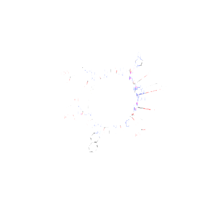 CC(C)[C@@H]1NC(=O)[C@@H]2CCCCn3cc(nn3)CC[C@H](NC(=O)[C@H](C)NC(=O)[C@@H](NC(=O)[C@H](CCC(=O)O)NC(C)(C)C)CSCC[C@@H](C(=O)N[C@H](C(=O)O)C(C)O)NC(=O)[C@H](Cc3cc4ccccc4cn3)NC1=O)C(=O)N[C@@H](Cc1c[nH]cn1)C(=O)N[C@@H](CC1CC1)C(=O)NCC(=O)N[C@@H](CCC(=O)O)C(=O)N2